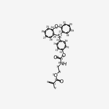 C=C(C)C(=O)OCCNC(=O)Oc1ccc([S+]2c3ccccc3Oc3ccccc32)cc1